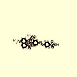 Nc1ccc(/N=N/c2ccc(/N=N/c3ccc(S(=O)(=O)O)cc3)cc2S(=O)(=O)O)c2c(S(=O)(=O)O)cccc12